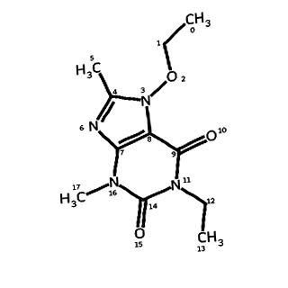 CCOn1c(C)nc2c1c(=O)n(CC)c(=O)n2C